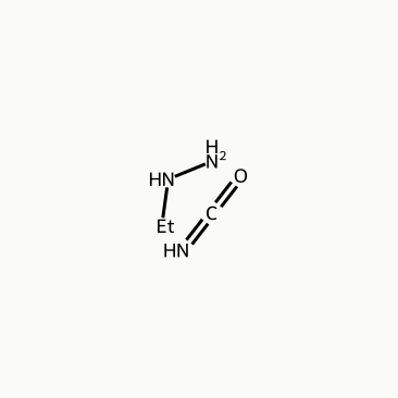 CCNN.N=C=O